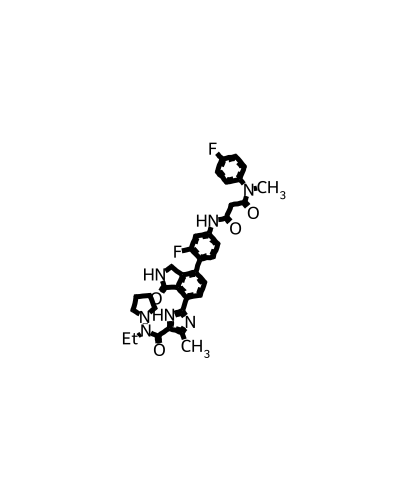 CCN(C(=O)c1[nH]c(-c2ccc(-c3ccc(NC(=O)CC(=O)N(C)c4ccc(F)cc4)cc3F)c3c2C(=O)NC3)nc1C)N1CCCC1